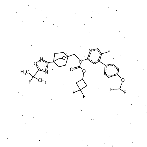 CC(C)(F)c1nc(C23CCC(CN(C(=O)OC4CC(F)(F)C4)c4cc(-c5ccc(OC(F)F)cc5)c(F)cn4)(CC2)CC3)no1